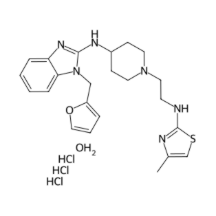 Cc1csc(NCCN2CCC(Nc3nc4ccccc4n3Cc3ccco3)CC2)n1.Cl.Cl.Cl.O